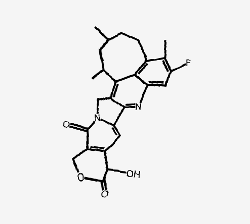 Cc1c(F)cc2nc3c(c4c2c1CCC(C)CC4C)Cn1c-3cc2c(c1=O)COC(=O)C2O